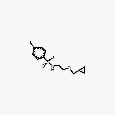 O=S(=O)(NCCOCC1CC1)c1ccc(I)cc1